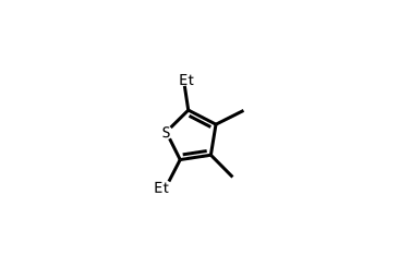 CCc1sc(CC)c(C)c1C